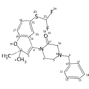 CC1(C)C=C(N2CCN(Cc3ccccc3)CC2=O)c2cc(SC(F)F)ccc2O1